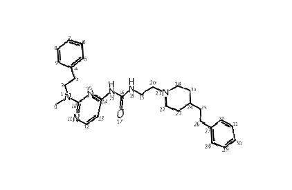 CN(CCc1ccccc1)c1nccc(NC(=O)NCCN2CCC(CCc3ccccc3)CC2)n1